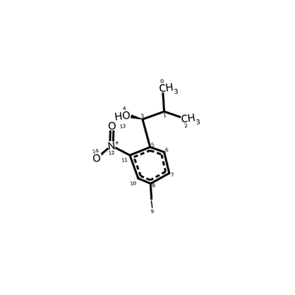 CC(C)[C@H](O)c1ccc(I)cc1[N+](=O)[O-]